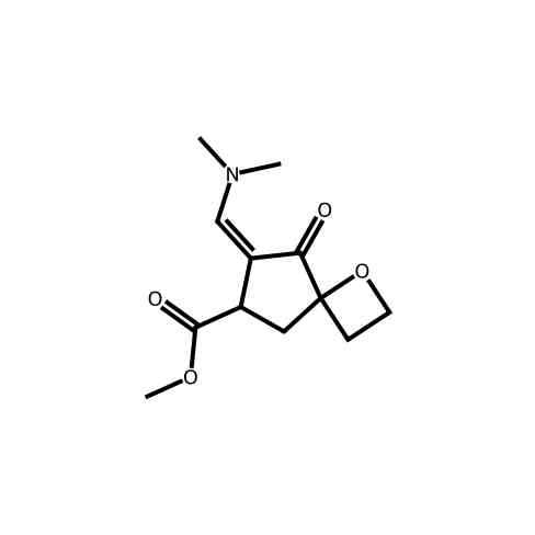 COC(=O)C1CC2(CCO2)C(=O)/C1=C\N(C)C